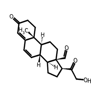 C[C@]12CCC(=O)C=C1C=C[C@H]1[C@@H]3CC[C@H](C(=O)CO)[C@@]3(C=O)CC[C@@H]12